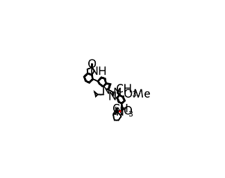 COc1cc(C(=O)N2CC3CCC2[C@@H]3C)cc2nc(-c3cc4ccc(-c5cccc6c5NC(=O)C6)cc4n3CC3CC3)n(C)c12